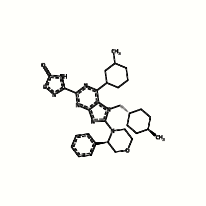 CC1CCCC(c2nc(-c3noc(=O)[nH]3)nc3nc(N4CCOC[C@H]4c4ccccc4)n(C[C@H]4CC[C@H](C)CC4)c23)C1